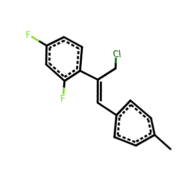 Cc1ccc(/C=C(\CCl)c2ccc(F)cc2F)cc1